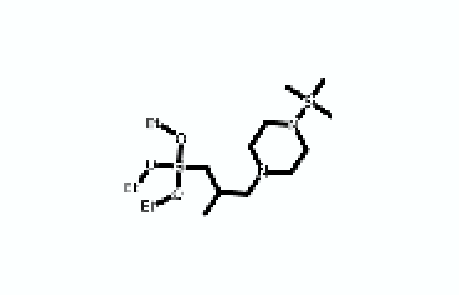 CCO[Si](CC(C)CN1CCN([Si](C)(C)C)CC1)(OCC)OCC